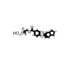 CCC1(Oc2ccc(C(=O)OCC(F)(F)C(=O)O)cc2)CC2CC1C1CCCC21